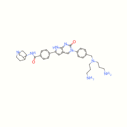 NCCCN(CCCN)Cc1ccc(-n2cc3cc(-c4ccc(C(=O)NC5CN6CCC5CC6)cc4)[nH]c3nc2=O)cc1